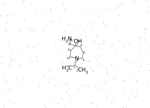 CC(C)N1CCCC(O)(CN)CC1